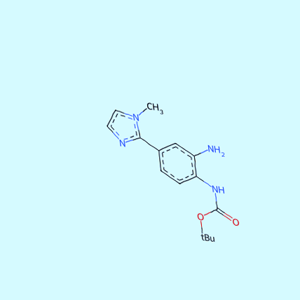 Cn1ccnc1-c1ccc(NC(=O)OC(C)(C)C)c(N)c1